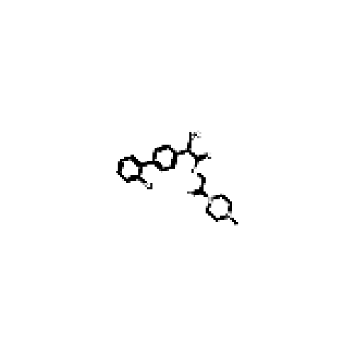 CC(C(=O)OCC(=O)N1CCN(C)CC1)c1ccc(-c2ccccc2Cl)cc1.Cl